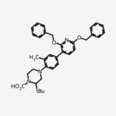 Cc1cc(-c2ccc(OCc3ccccc3)nc2OCc2ccccc2)ccc1N1CCN(C(=O)O)C(C(C)(C)C)C1